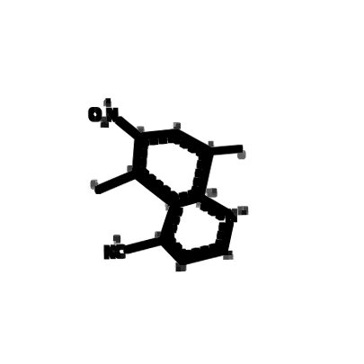 Cc1cc([N+](=O)[O-])c(C)c2c(C#N)ccnc12